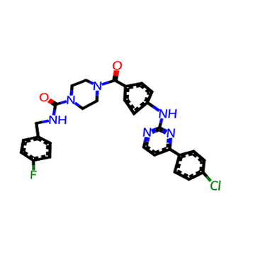 O=C(NCc1ccc(F)cc1)N1CCN(C(=O)c2ccc(Nc3nccc(-c4ccc(Cl)cc4)n3)cc2)CC1